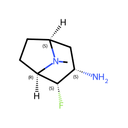 CN1[C@H]2CC[C@@H]1[C@@H](F)[C@@H](N)C2